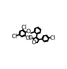 O=C1OCC(c2ccc(Cl)cc2)=C1c1ccccc1COc1c(Cl)cc(Cl)cc1Cl